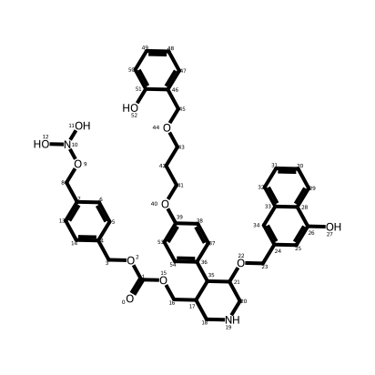 O=C(OCc1ccc(CON(O)O)cc1)OCC1CNCC(OCc2cc(O)c3ccccc3c2)C1c1ccc(OCCCOCc2ccccc2O)cc1